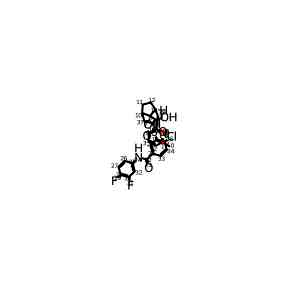 Cc1cccc(C(O)[C@@]2(O)C3CC[C@H]2C[C@H](S(=O)(=O)c2cc(C(=O)Nc4ccc(F)c(F)c4)ccc2Cl)C3)n1